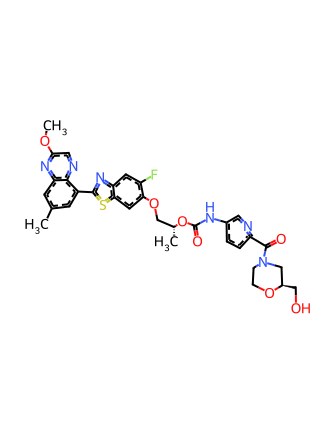 COc1cnc2c(-c3nc4cc(F)c(OC[C@@H](C)OC(=O)Nc5ccc(C(=O)N6CCO[C@H](CO)C6)nc5)cc4s3)cc(C)cc2n1